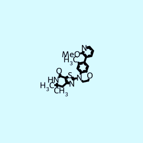 COc1ncccc1-c1cc2c(cc1C)N(c1nc3c(s1)C(=O)NC(C)(C)C3)CCO2